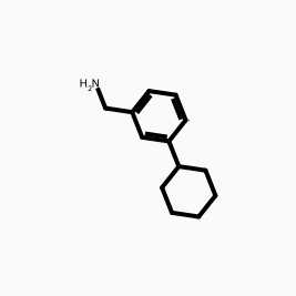 NCc1cc[c]c(C2CCCCC2)c1